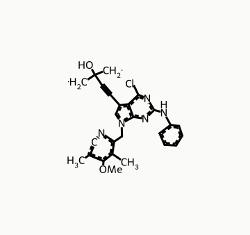 [CH2]C([CH2])(O)C#Cc1cn(Cc2ncc(C)c(OC)c2C)c2nc(Nc3ccccc3)nc(Cl)c12